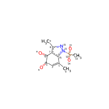 CC1=CC(=O)C(=O)c2c(C)nn(S(C)(=O)=O)c21